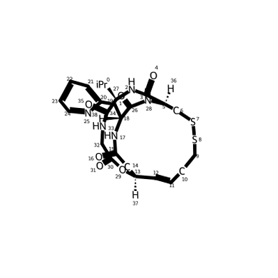 CC(C)[C@H]1NC(=O)[C@H]2CSSCC/C=C/[C@H](CC(=O)N[C@H](Cc3ccccn3)C(=O)N2)OC(=O)CNC1=O